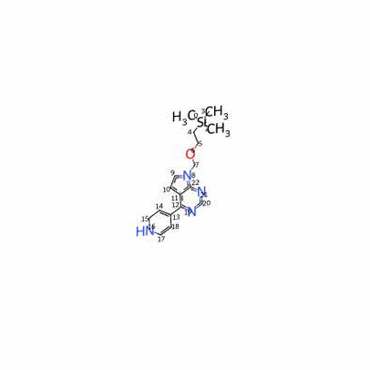 C[Si](C)(C)CCOCn1ccc2c(C3=CCNC=C3)ncnc21